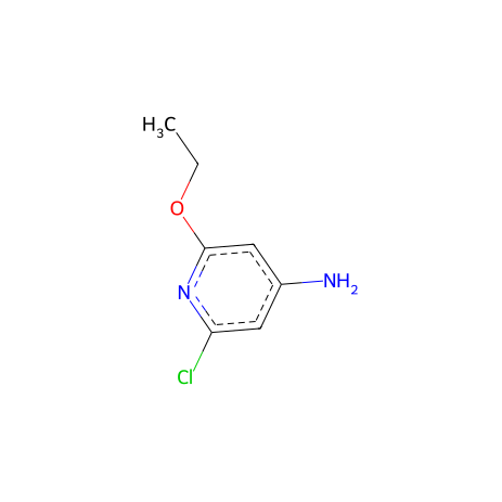 CCOc1cc(N)cc(Cl)n1